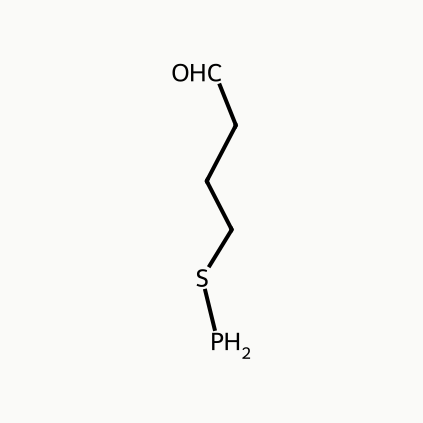 O=CCCCSP